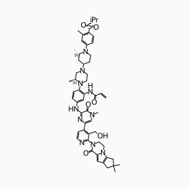 C=CC(=O)Nc1cc(Nc2nc(-c3ccnc(N4CCn5c(cc6c5CC(C)(C)C6)C4=O)c3CO)cn(C)c2=O)ccc1N1CCN(C2CCN(c3ccc(S(=O)(=O)C(C)C)c(C)c3)[C@@H](C)C2)C[C@@H]1C